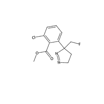 COC(=O)c1c(Cl)cccc1C1(CF)CCN=N1